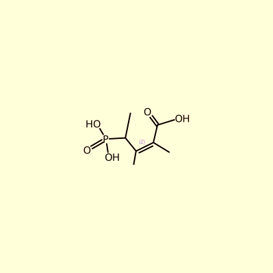 C/C(C(=O)O)=C(\C)C(C)P(=O)(O)O